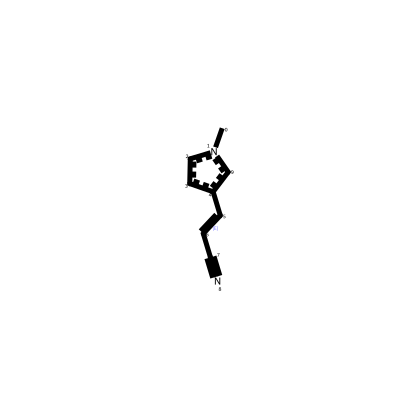 Cn1ccc(/C=C/C#N)c1